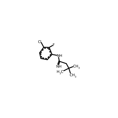 CC(C)(C)CC(=N)Nc1cccc(Cl)c1F